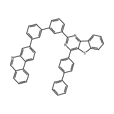 c1ccc(-c2ccc(-c3nc(-c4cccc(-c5cccc(-c6ccc7c(c6)ncc6ccccc67)c5)c4)nc4c3sc3ccccc34)cc2)cc1